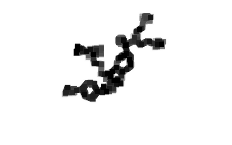 CC(=O)c1ccc(Nc2nc3ccc(C(=O)N(CCC(C)C)CCC(C)C)cc3n2CCCNC2CC2)cc1